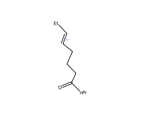 CC/C=C/CCCC(=O)CCC